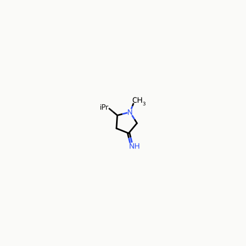 CC(C)C1CC(=N)CN1C